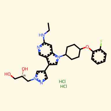 CCNc1cc2c(cn1)c(-c1cnn(C[C@@H](O)CO)c1)cn2C1CCC(Oc2ccccc2F)CC1.Cl.Cl